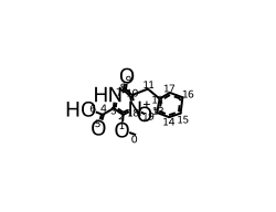 COc1c(C(=O)O)[nH]c(=O)c(Cc2ccccc2)[n+]1[O-]